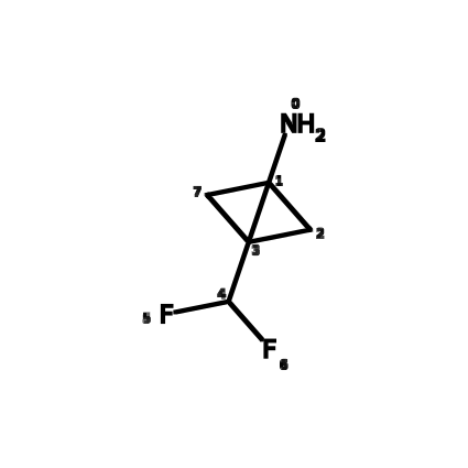 NC12CC1(C(F)F)C2